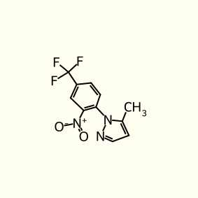 Cc1ccnn1-c1ccc(C(F)(F)F)cc1[N+](=O)[O-]